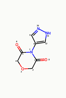 O=C1COCC(=O)N1c1cn[nH]c1